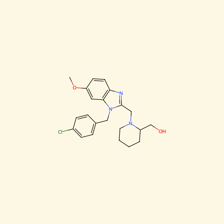 COc1ccc2nc(CN3CCCCC3CO)n(Cc3ccc(Cl)cc3)c2c1